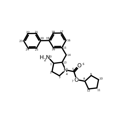 NC1CCN(C(=O)OC2CCCC2)C1Cc1cccc(-c2ccccc2)c1